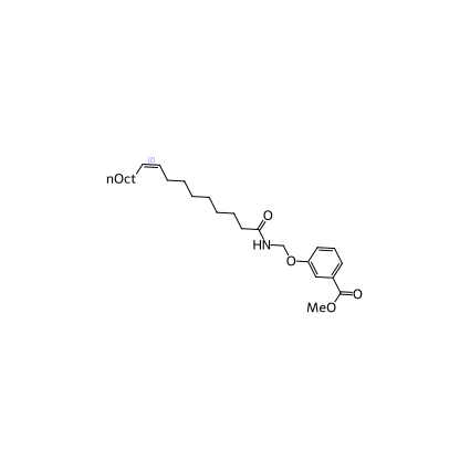 CCCCCCCC/C=C\CCCCCCCC(=O)NCOc1cccc(C(=O)OC)c1